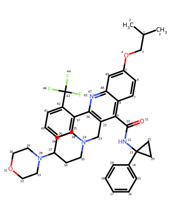 CC(C)COc1ccc2c(C(=O)NC3(c4ccccc4)CC3)c(CN3CCC(N4CCOCC4)CC3)c(-c3ccccc3C(F)(F)F)nc2c1